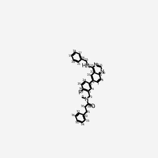 CN(Cc1cc(-c2ccc3ncnc(NCc4ccccc4)c3c2)ccc1F)C(=O)CCc1ccccc1